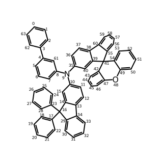 c1ccc(-c2cccc(N(c3ccc4c(c3)C(c3ccccc3)(c3ccccc3)c3ccccc3-4)c3ccc4c(c3)C3(c5ccccc5Oc5ccccc53)c3ccccc3-4)c2)cc1